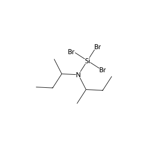 CCC(C)N(C(C)CC)[Si](Br)(Br)Br